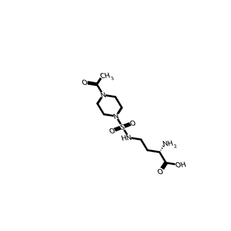 CC(=O)N1CCN(S(=O)(=O)NCC[C@H](N)C(=O)O)CC1